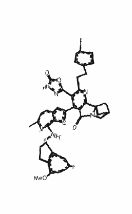 COc1cc(F)cc2c1CC[C@H]2Nc1nc(C)cc2cc(-c3c4c(nc(CCc5ccc(F)cc5)c3-c3n[nH]c(=O)o3)C35CC(CN3C4=O)C5)sc12